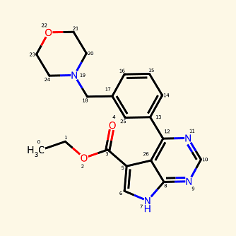 CCOC(=O)c1c[nH]c2ncnc(-c3cccc(CN4CCOCC4)c3)c12